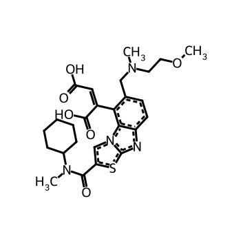 COCCN(C)Cc1ccc2nc3sc(C(=O)N(C)C4CCCCC4)cn3c2c1/C(=C/C(=O)O)C(=O)O